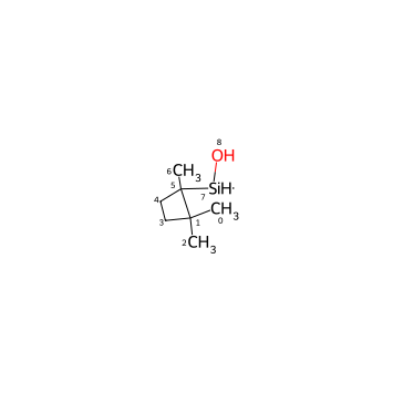 CC1(C)CCC1(C)[SiH]O